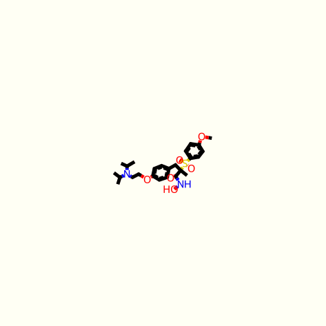 COc1ccc(S(=O)(=O)C(C)(Cc2ccc(OCCN(C(C)C)C(C)C)cc2)C(=O)NO)cc1